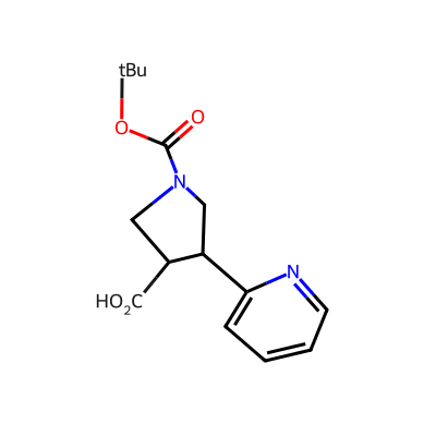 CC(C)(C)OC(=O)N1CC(C(=O)O)C(c2ccccn2)C1